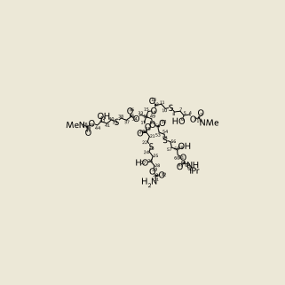 CNC(=O)OCC(O)CCSCCC(=O)OCC(COC(=O)CCSCCC(O)COC(N)=O)(COC(=O)CCSCCC(O)COC(=O)NC)COC(=O)CCSCCC(O)COC(=O)NC(C)C